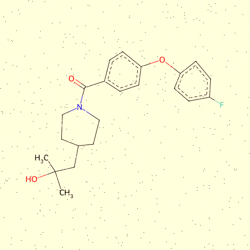 CC(C)(O)CC1CCN(C(=O)c2ccc(Oc3ccc(F)cc3)cc2)CC1